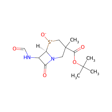 CC(C)(C)OC(=O)C1(C)CN2C(=O)C(NC=O)[C@H]2[S+]([O-])C1